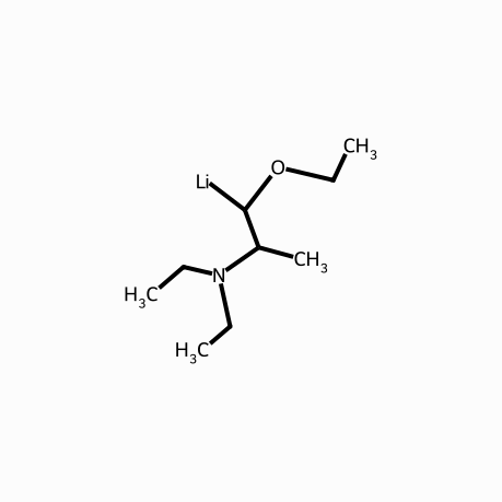 [Li][CH](OCC)C(C)N(CC)CC